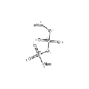 CCCCCCCCCOS(=O)(=O)OS(=O)(=O)CCCCCCCCC